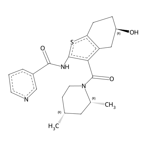 C[C@@H]1CCN(C(=O)c2c(NC(=O)c3cccnc3)sc3c2C[C@H](O)CC3)[C@H](C)C1